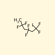 CC(F)(F)CC(F)(F)CC(F)(F)I